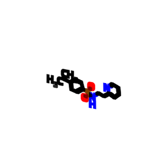 CC(C)c1ccc(S(=O)(=O)NCCc2ccccn2)cc1